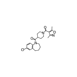 Cc1noc(C)c1C(=O)N1CCC(C(=O)N2CCCCc3cc(Cl)ccc32)CC1